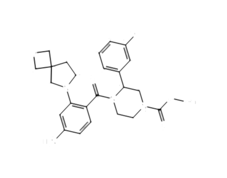 CC(C)(C)OC(=O)N1CCN(C(=O)c2ccc(N)cc2N2CCC3(COC3)C2)C(c2cccc(Cl)c2)C1